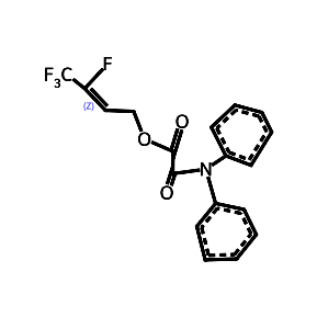 O=C(OC/C=C(\F)C(F)(F)F)C(=O)N(c1ccccc1)c1ccccc1